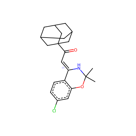 CC1(C)N/C(=C\C(=O)C23CC4CC(CC(C4)C2)C3)c2ccc(Cl)cc2O1